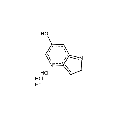 Cl.Cl.Oc1cnc2c(c1)=NCC=2.[H+]